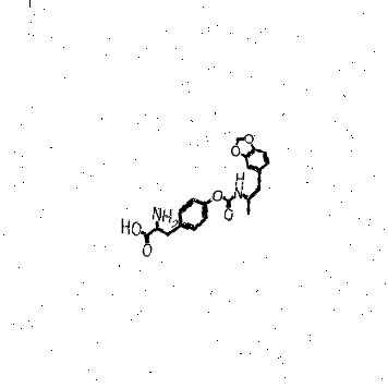 CC(Cc1ccc2c(c1)OCO2)NC(=O)Oc1ccc(CC(N)C(=O)O)cc1